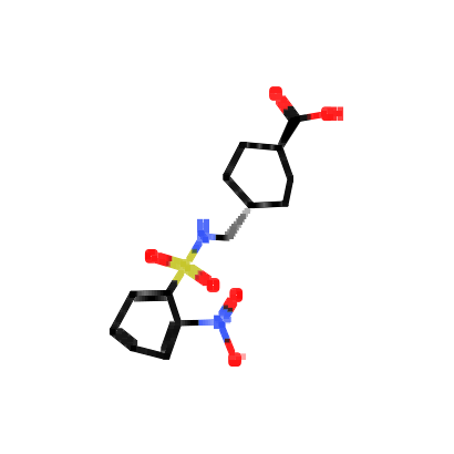 O=C(O)[C@H]1CC[C@H](CNS(=O)(=O)c2ccccc2[N+](=O)[O-])CC1